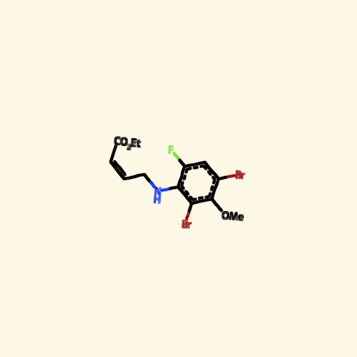 CCOC(=O)/C=C\CNc1c(F)cc(Br)c(OC)c1Br